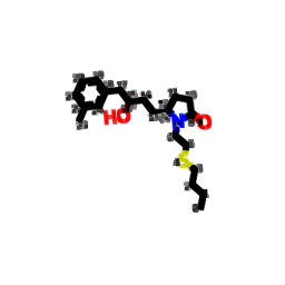 CCCCSCCN1C(=O)CC[C@@H]1CC[C@@H](O)Cc1cccc(C)c1